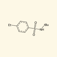 CCc1ccc(S(=O)(=O)NC(C)(C)C)cc1